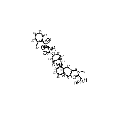 CCCNC(=O)C(C)Cc1ccc2cccc(Cc3ccc(C(=O)NS(=O)(=O)c4ccccc4C)cc3OC)c2c1